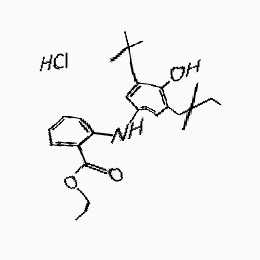 CCOC(=O)c1ccccc1Nc1cc(C(C)(C)C)c(O)c(C(C)(C)C)c1.Cl